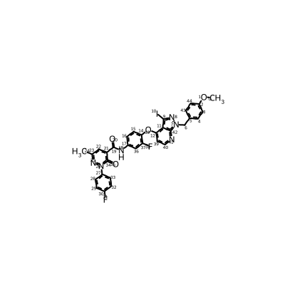 COc1ccc(Cn2nc(I)c3c(Oc4ccc(NC(=O)c5cc(C)nn(-c6ccc(F)cc6)c5=O)cc4F)ccnc32)cc1